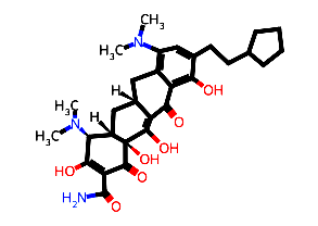 CN(C)c1cc(CCC2CCCC2)c(O)c2c1C[C@H]1C[C@H]3[C@H](N(C)C)C(O)=C(C(N)=O)C(=O)[C@@]3(O)C(O)=C1C2=O